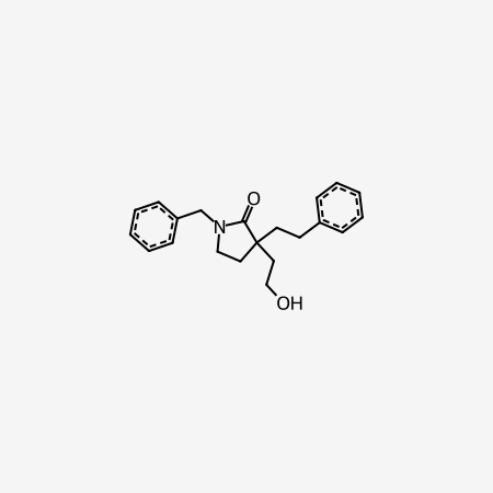 O=C1N(Cc2ccccc2)CCC1(CCO)CCc1ccccc1